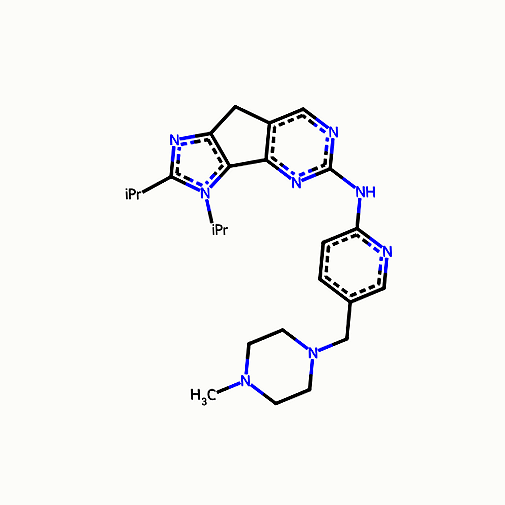 CC(C)c1nc2c(n1C(C)C)-c1nc(Nc3ccc(CN4CCN(C)CC4)cn3)ncc1C2